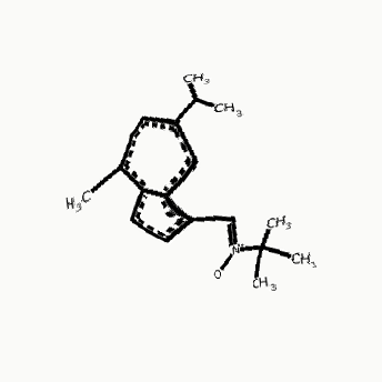 Cc1ccc(C(C)C)cc2c(C=[N+]([O-])C(C)(C)C)ccc1-2